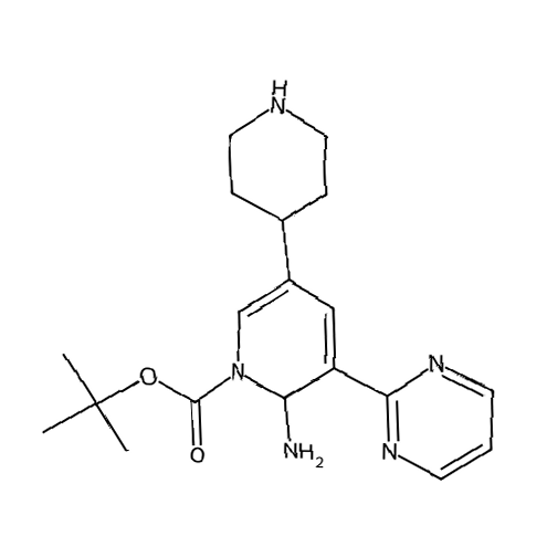 CC(C)(C)OC(=O)N1C=C(C2CCNCC2)C=C(c2ncccn2)C1N